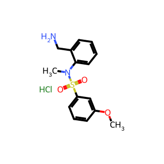 COc1cccc(S(=O)(=O)N(C)c2ccccc2CN)c1.Cl